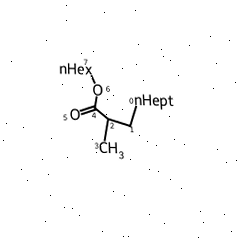 CCCCCCCCC(C)C(=O)OCCCCCC